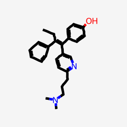 CC/C(=C(\c1ccc(O)cc1)c1ccc(CCCN(C)C)nc1)c1ccccc1